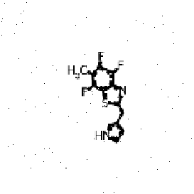 Cc1c(F)c(F)c2nc(Cc3cc[nH]c3)sc2c1F